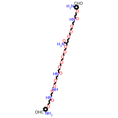 NC(=O)C(CCCOCCOCCOCCCNC(=O)CCCOc1ccc(C=O)c(N)c1)COCCOCCOCCOCCOCCC(=O)NCCCOCCOCNOCCCNC(=O)CCCOc1ccc(C=O)c(N)c1